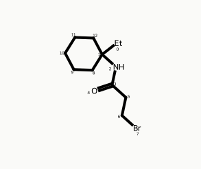 CCC1(NC(=O)CCBr)CCCCC1